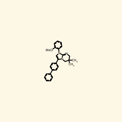 COc1ccccc1N1C=C(c2ccc(-c3ccccc3)cc2)N2CC(C)(C)CN=C21